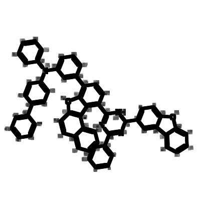 c1ccc(C2=NC(c3ccc4oc5ccccc5c4c3)NC(c3ccc(-c4cccc(N(c5ccccc5)c5ccc(-c6ccccc6)cc5)c4)c4oc5ccc6ccccc6c5c34)=N2)cc1